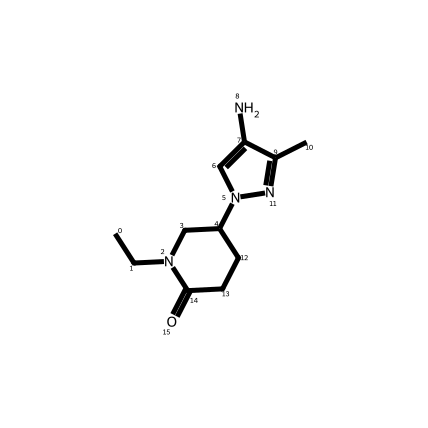 CCN1CC(n2cc(N)c(C)n2)CCC1=O